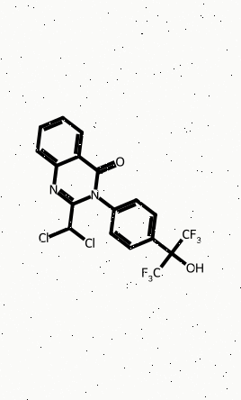 O=c1c2ccccc2nc(C(Cl)Cl)n1-c1ccc(C(O)(C(F)(F)F)C(F)(F)F)cc1